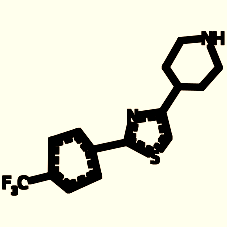 FC(F)(F)c1ccc(-c2nc(C3CCNCC3)cs2)cc1